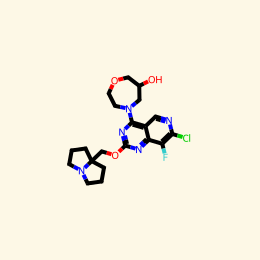 OC1COCCN(c2nc(OCC34CCCN3CCC4)nc3c(F)c(Cl)ncc23)C1